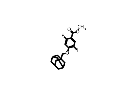 COC(=O)c1cc(I)c(OCC23CC4CC(CC(C4)C2)C3)cc1F